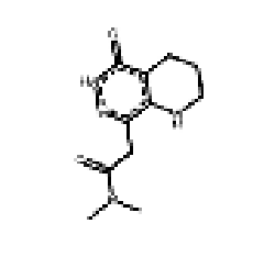 CN(C)C(=O)Cc1n[nH]c(=O)c2c1NCCC2